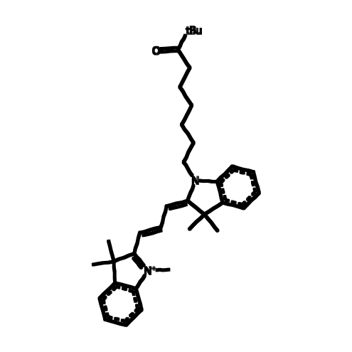 C[N+]1=C(/C=C/C=C2/N(CCCCCCC(=O)C(C)(C)C)c3ccccc3C2(C)C)C(C)(C)c2ccccc21